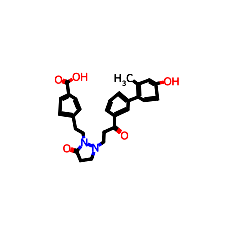 Cc1cc(O)ccc1-c1cccc(C(=O)CCN2CCC(=O)N2CCc2ccc(C(=O)O)cc2)c1